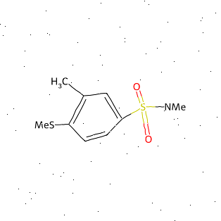 CNS(=O)(=O)c1ccc(SC)c(C)c1